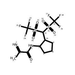 CC(=N)C(=O)NC1CCCC1C(S(=O)(=O)C(F)(F)F)S(=O)(=O)C(F)(F)F